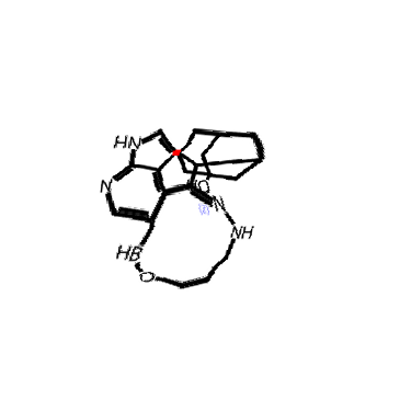 OC12CC3CC(C1)C(/C1=N/NCCCOBc4cnc5[nH]ccc5c41)C(C3)C2